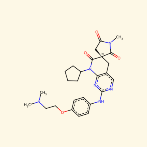 CN(C)CCOc1ccc(Nc2ncc3c(n2)N(C2CCCC2)C(=O)[C@@]2(CC(=O)N(C)C2=O)C3)cc1